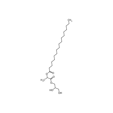 CCCCCCCCCCCCCCCCCC(=O)OC(C)C(=O)OCC(O)CO